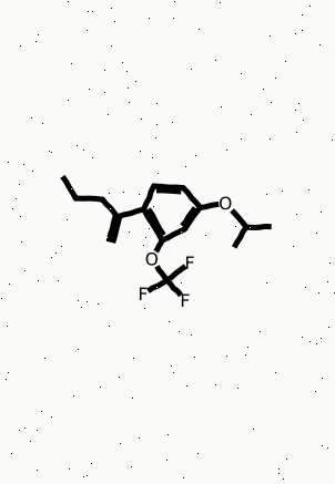 C=C(CCC)c1ccc(OC(C)C)cc1OC(F)(F)F